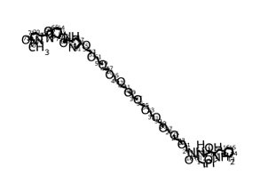 CC(C)C[C@H](NC(=O)[C@@H](O)[C@H](N)Cc1ccccc1)C(=O)NCCOCCOCCOCCOCCOCCOCCOCCOCCOCCOCCOCCOc1ccc(C(=O)Nc2ccc3oc(-c4ccc(=O)n(C)n4)nc3c2)nc1